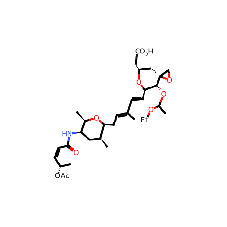 CCOC(C)O[C@@H]1[C@@H](/C=C/C(C)=C/C[C@@H]2O[C@H](C)[C@H](NC(=O)/C=C\[C@H](C)OC(C)=O)C[C@@H]2C)O[C@H](CC(=O)O)C[C@@]12CO2